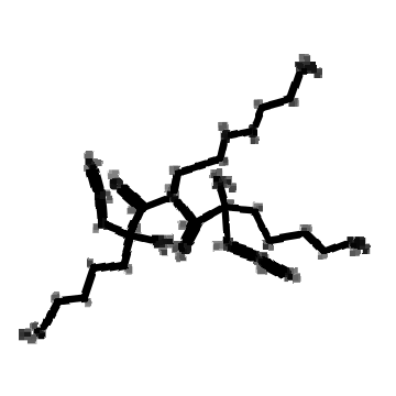 [N-]=[N+]=NC(N)(CCCCN)C(=O)N(CCSSCCN)C(=O)C(N)(CCCCN)N=[N+]=[N-]